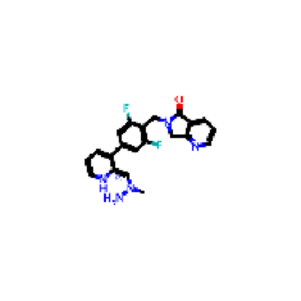 CN(N)/C=C1\NC=CC=C1c1cc(F)c(CN2Cc3ncccc3C2=O)c(F)c1